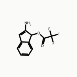 NC1=Cc2ccccc2C1OC(=O)C(F)(F)F